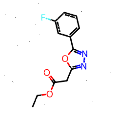 CCOC(=O)Cc1nnc(-c2cccc(F)c2)o1